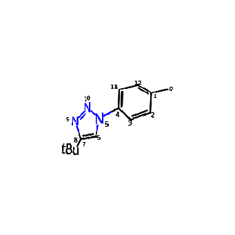 Cc1ccc(-n2cc(C(C)(C)C)nn2)cc1